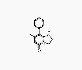 Cc1cc(=O)n2c(c1-c1ccccc1)NCC2